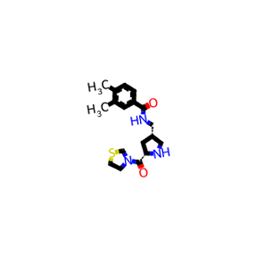 Cc1ccc(C(=O)NC[C@@H]2CN[C@H](C(=O)N3CCSC3)C2)cc1C